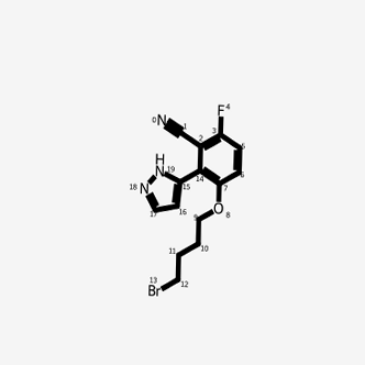 N#Cc1c(F)ccc(OCCCCBr)c1-c1ccn[nH]1